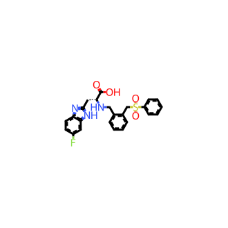 O=C(O)[C@@H](Cc1nc2ccc(F)cc2[nH]1)NCc1ccccc1CS(=O)(=O)c1ccccc1